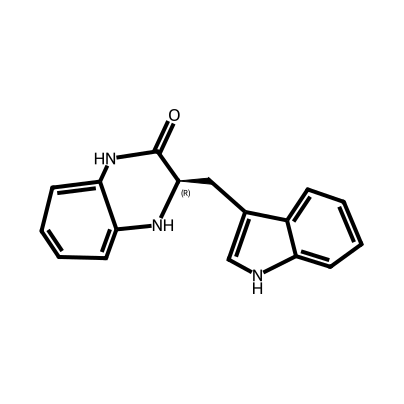 O=C1Nc2ccccc2N[C@@H]1Cc1c[nH]c2ccccc12